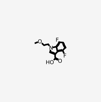 COCCn1cc(C(=O)O)c2c(F)ccc(F)c21